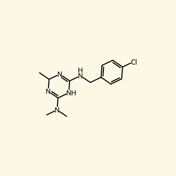 CC1N=C(NCc2ccc(Cl)cc2)NC(N(C)C)=N1